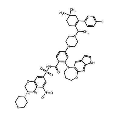 CC(C1=C(c2ccc(Cl)cc2)CC(C)(C)CC1)N1CCN(c2ccc(C(=O)NS(=O)(=O)c3cc4c(c([N+](=O)[O-])c3)N[C@H](C3CCOCC3)CO4)c(N3CCCOc4nc5[nH]ccc5cc43)c2)CC1